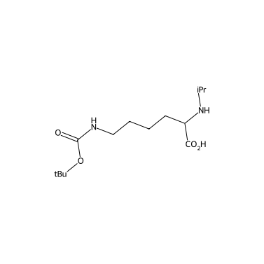 CC(C)NC(CCCCNC(=O)OC(C)(C)C)C(=O)O